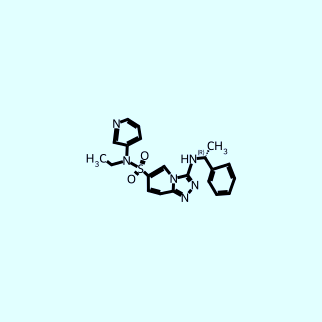 CCN(c1cccnc1)S(=O)(=O)c1ccc2nnc(N[C@H](C)c3ccccc3)n2c1